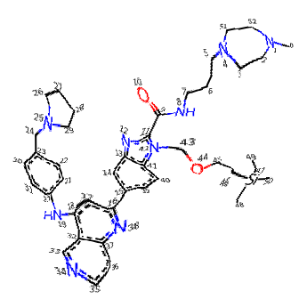 CN1CCN(CCCNC(=O)c2nc3cc(-c4cc(Nc5ccc(CN6CCCC6)cc5)c5cnccc5n4)ccc3n2COCC[Si](C)(C)C)CC1